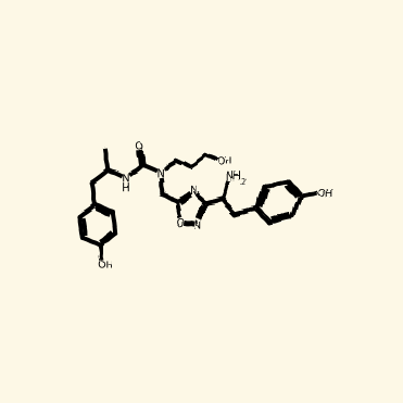 CC(Cc1ccc(O)cc1)NC(=O)N(CCCO)Cc1nc(C(N)Cc2ccc(O)cc2)no1